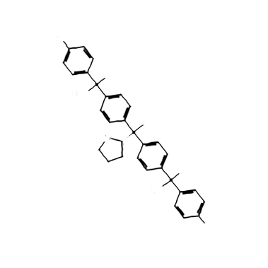 Cc1ccc(C(C)(C)c2ccc(C(F)(c3ccc(C(C)(C)c4ccc(C)cc4)cc3)[C@H]3CCCN3)cc2)cc1